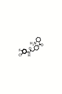 N[C@@H]1CCCC[C@H]1C(=O)N1CCC(CC(=O)Nc2ccc(F)c(Cl)c2)CC1